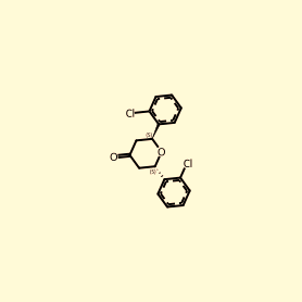 O=C1C[C@@H](c2ccccc2Cl)O[C@H](c2ccccc2Cl)C1